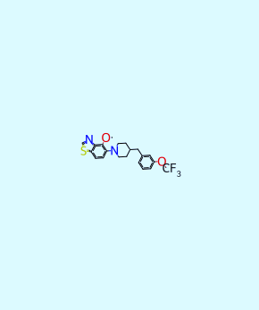 [O]c1c(N2CCC(Cc3cccc(OC(F)(F)F)c3)CC2)ccc2scnc12